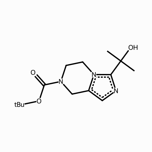 CC(C)(C)OC(=O)N1CCn2c(cnc2C(C)(C)O)C1